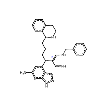 N=C/C(=C\NCc1ccccc1)C(CCCC1NCCc2ccccc21)c1cc(N)nc2[nH]nnc12